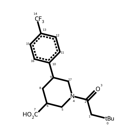 CC(C)(C)CC(=O)N1CC(C(=O)O)CC(c2ccc(C(F)(F)F)cc2)C1